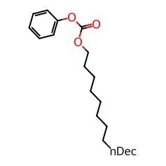 CCCCCCCCCCCCCCCCCCOC(=O)Oc1ccccc1